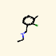 CCNCc1cccc(C)c1F